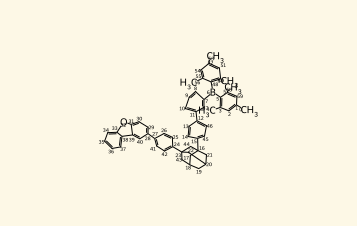 Cc1cc(C)c(B(c2cccc(-c3ccc(C45CC6CC(C4)CC(c4ccc(-c7ccc8oc9ccccc9c8c7)cc4)(C6)C5)cc3)c2)c2c(C)cc(C)cc2C)c(C)c1